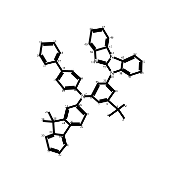 CC(C)(C)c1cc(N(c2ccc(-c3ccccc3)cc2)c2ccc3c(c2)C(C)(C)c2ccccc2-3)cc(-n2c3ccccc3n3c4ccccc4nc23)c1